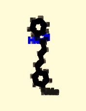 CNc1ccc(C=CC=Cc2nc3ccccc3[nH]2)cc1